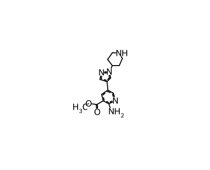 COC(=O)c1cc(-c2cnn(C3CCNCC3)c2)cnc1N